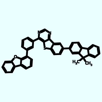 CC1(C)c2ccccc2-c2ccc(-c3ccc4sc5c(-c6cccc(-c7cccc8c7oc7ccccc78)c6)ncnc5c4c3)cc21